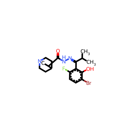 CC(C)C(=NNC(=O)C1CN2CCC1CC2)c1c(F)ccc(Br)c1O